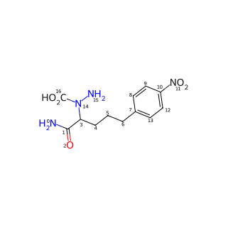 NC(=O)C(CCCc1ccc([N+](=O)[O-])cc1)N(N)C(=O)O